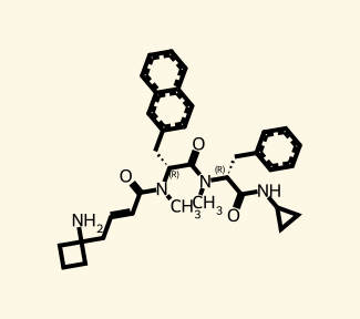 CN(C(=O)C=CCC1(N)CCC1)[C@H](Cc1ccc2ccccc2c1)C(=O)N(C)[C@H](Cc1ccccc1)C(=O)NC1CC1